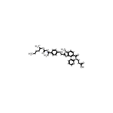 CCCCC(C)OC(=O)/N=C(\N)c1ccc(NCc2nc3cc(C(=O)N(CCC(=O)O)c4ccccn4)ccc3n2C)cc1